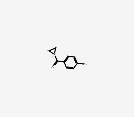 O=C(c1ccc(Cl)cc1)N1CC1